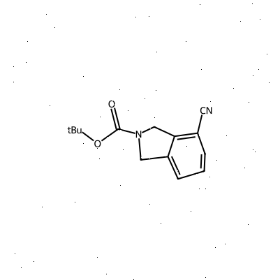 CC(C)(C)OC(=O)N1Cc2cccc(C#N)c2C1